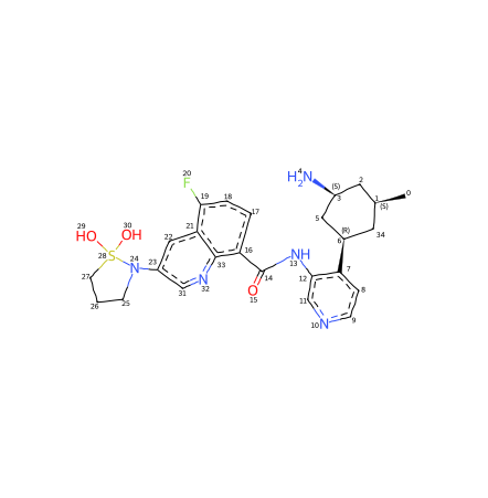 C[C@@H]1C[C@H](N)C[C@H](c2ccncc2NC(=O)c2ccc(F)c3cc(N4CCCS4(O)O)cnc23)C1